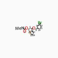 CNC(=O)OCCC(OCc1cccc(Br)c1)c1cccs1